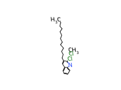 CCCCCCCCCCCCCc1cc2ccccc2nc1Cl.CCl